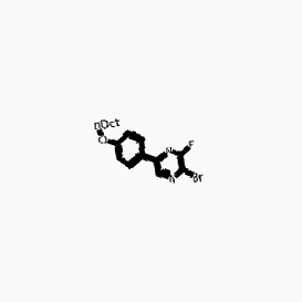 CCCCCCCCOc1ccc(-c2cnc(Br)c(F)n2)cc1